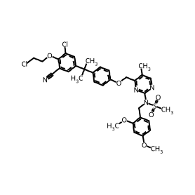 COc1ccc(CN(c2ncc(C)c(COc3ccc(C(C)(C)c4cc(Cl)c(OCCCl)c(C#N)c4)cc3)n2)S(C)(=O)=O)c(OC)c1